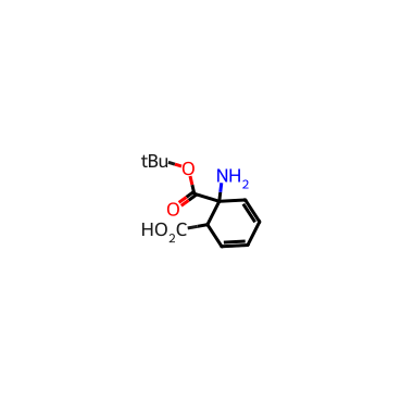 CC(C)(C)OC(=O)C1(N)C=CC=CC1C(=O)O